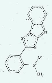 C[S+]([O-])c1ccccc1-c1nc2nc3ccccc3n2s1